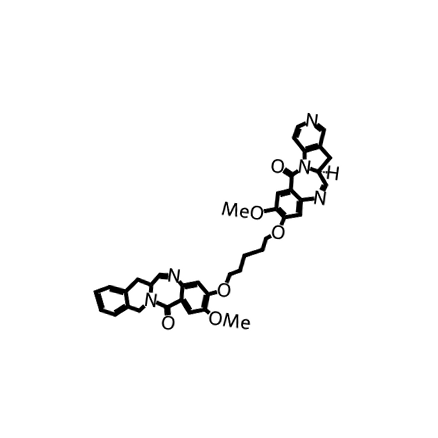 COc1cc2c(cc1OCCCCCOc1cc3c(cc1OC)C(=O)N1c4ccncc4C[C@H]1C=N3)N=CC1Cc3ccccc3CN1C2=O